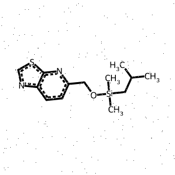 CC(C)C[Si](C)(C)OCc1ccc2n[c]sc2n1